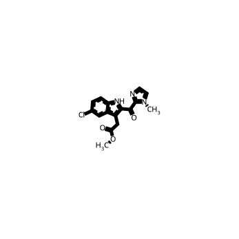 COC(=O)Cc1c(C(=O)c2nccn2C)[nH]c2ccc(Cl)cc12